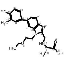 CCOCCn1c(CN[C@@H](C)C(N)=O)nc2ccc(-c3ccc(F)c(C)c3)cc21